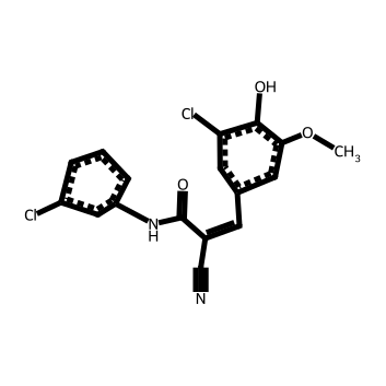 COc1cc(C=C(C#N)C(=O)Nc2cccc(Cl)c2)cc(Cl)c1O